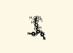 CC(C)(C)OC(=O)NC1CCC(NC(=O)c2cc(Oc3ccc(C#N)cn3)cc(Oc3ccc(C#N)cn3)c2)CC1